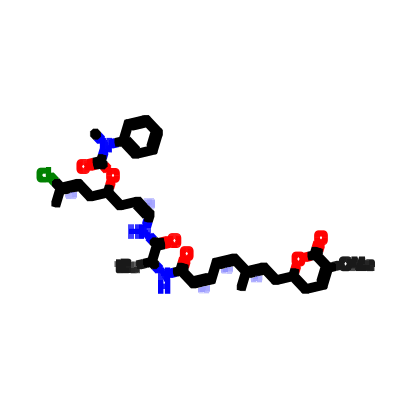 COC1=CCC(C/C=C(C)/C=C\C=C/C(=O)NC(C(=O)N/C=C\CC(C/C=C(\C)Cl)OC(=O)N(C)c2ccccc2)C(C)(C)C)OC1=O